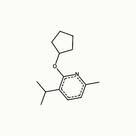 Cc1ccc(C(C)C)c(OC2CCCC2)n1